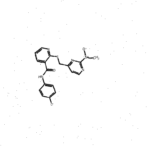 C[S+]([O-])c1nccc(CSc2ncccc2C(=O)Nc2ccc(Cl)cc2)n1